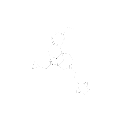 Oc1ccc2c(c1)C13CCN(CCn4nccn4)CCC1(O)C(C2)N(CC1CC1)CC3